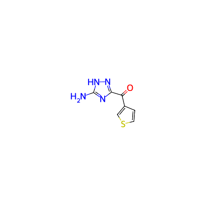 Nc1nc(C(=O)c2ccsc2)n[nH]1